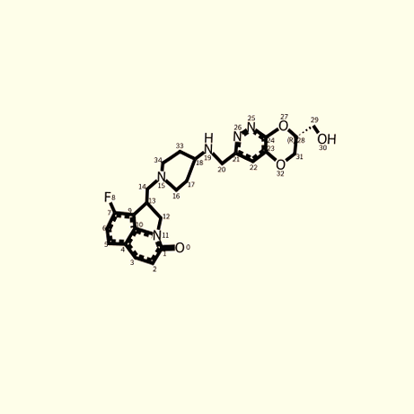 O=c1ccc2ccc(F)c3c2n1CC3CN1CCC(NCc2cc3c(nn2)O[C@H](CO)CO3)CC1